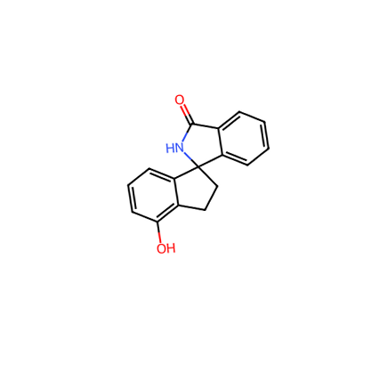 O=C1NC2(CCc3c(O)cccc32)c2ccccc21